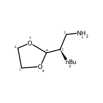 CCCC[C@H](CN)C1OCCO1